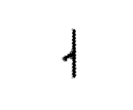 CCCCCCCCCCCCOCC(COCCCCCCCCCCCC)OC(=O)CCCN(C)C